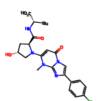 Cn1c(N2C[C@H](O)C[C@H]2C(=O)N[C@H](C(=O)O)C(C)(C)C)cc(=O)n2cc(-c3ccc(Cl)cc3)nc12